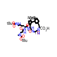 COc1ccc2cc1-c1cc(ccc1OC)[C@H](N(C)C(=O)[C@H](CCCCNC(=O)OC(C)(C)C)NC(=O)CCN(C)C(=O)OC(C)(C)C)C(=O)N[C@@H](C)C(=O)N[C@H](C(=O)O)C2